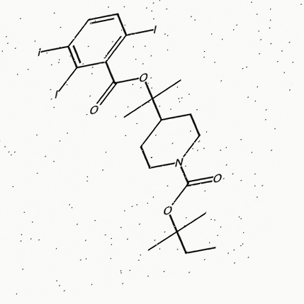 CCC(C)(C)OC(=O)N1CCC(C(C)(C)OC(=O)c2c(I)ccc(I)c2I)CC1